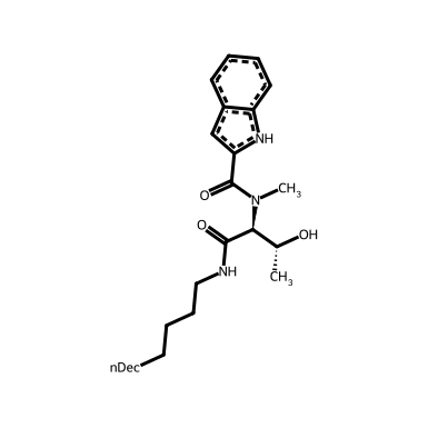 CCCCCCCCCCCCCCNC(=O)[C@H]([C@@H](C)O)N(C)C(=O)c1cc2ccccc2[nH]1